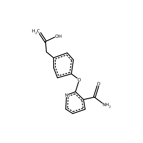 C=C(O)Cc1ccc(Oc2ncccc2C(N)=O)cc1